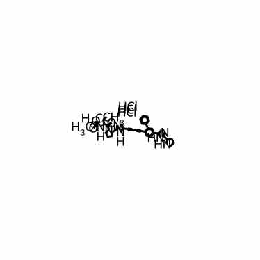 COC(=O)N[C@H](C(=O)N1CCCC1c1ncc(C#CC#Cc2ccc(-c3cnc(C4CCCN4)[nH]3)cc2-c2ccccc2)[nH]1)C(C)C.Cl.Cl.Cl